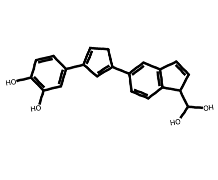 Oc1ccc(C2=CCC(c3ccc4c(c3)C=CC4C(O)O)=C2)cc1O